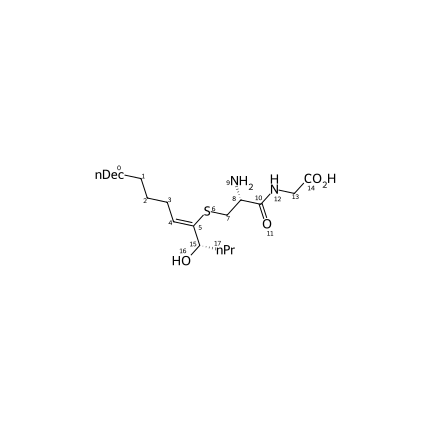 CCCCCCCCCCCCCC=C(SC[C@H](N)C(=O)NCC(=O)O)[C@@H](O)CCC